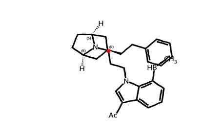 CBc1cccc2c(C(C)=O)cn(CCCN3[C@@H]4CC[C@H]3C[C@@H](CCc3ccccc3)C4)c12